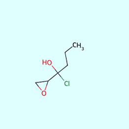 CCCC(O)(Cl)C1CO1